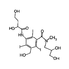 CN(CC(O)CO)C(=O)c1c(I)c(CO)c(I)c(NC(=O)C(O)CCO)c1I